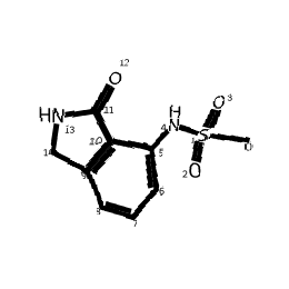 CS(=O)(=O)Nc1cccc2c1C(=O)NC2